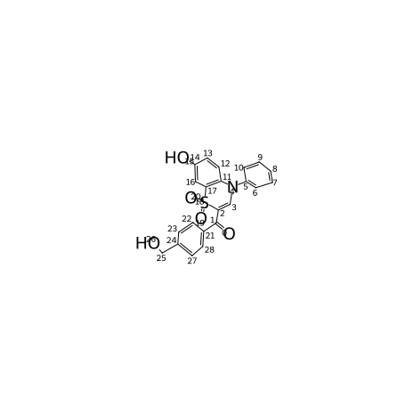 O=C(C1=CN(c2ccccc2)c2ccc(O)cc2S1(=O)=O)c1ccc(CO)cc1